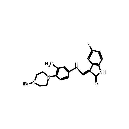 CCC(C)N1CCN(c2ccc(N/C=C3/C(=O)Nc4ccc(F)cc43)cc2C)CC1